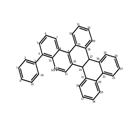 c1ccc(-c2cccc3c4c(cnc23)C2c3ccccc3-c3ccccc3C2c2ccccc2-4)cc1